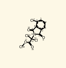 O=C1c2cccc(Cl)c2C(=O)N1C(Cl)(Cl)C(=O)OCl